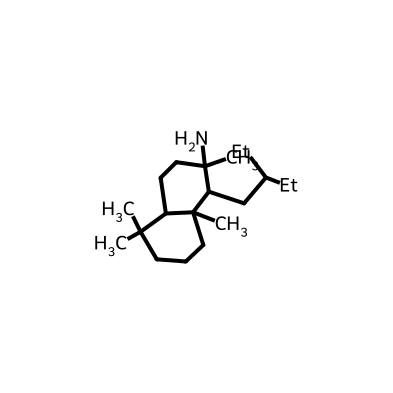 CCC(CC)CC1C(C)(N)CCC2C(C)(C)CCCC21C